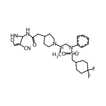 C[C@H](CN(c1ccccc1)S(=O)(=O)CC1CCC(F)(F)CC1)N1CCC(CC(=O)NC2NOC=C2C#N)CC1